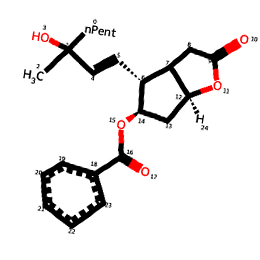 CCCCCC(C)(O)/C=C/[C@@H]1C2CC(=O)O[C@H]2C[C@H]1OC(=O)c1ccccc1